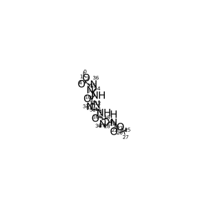 CCOC(=O)c1nc(NC(=O)c2nc(NC(=O)c3cc(NC(=O)OC(C)(C)C)cn3C)cn2C)cn1C